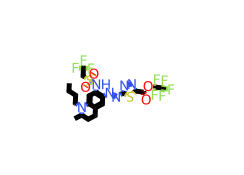 CCCCN1c2cc(NS(=O)(=O)CC(F)(F)F)c(N=Nc3nnc(C(=O)OC(F)(F)C(F)(F)F)s3)cc2CCC1C